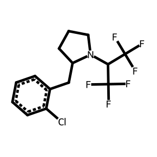 FC(F)(F)C(N1CCCC1Cc1ccccc1Cl)C(F)(F)F